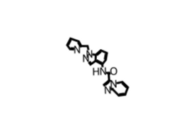 O=C(Nc1cccc2c1cnn2Cc1ccccn1)c1cnc2ccccn12